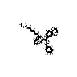 CCCCCCCC(=O)N[C@H](CN1CCCC1)[C@H](OCc1ccccc1)c1ccc2c(c1)OCCO2